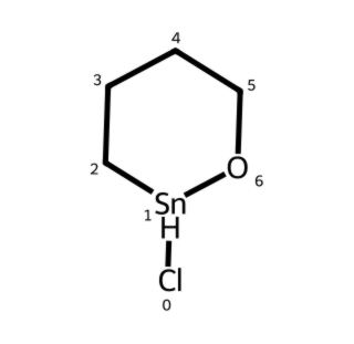 [Cl][SnH]1[CH2]CCC[O]1